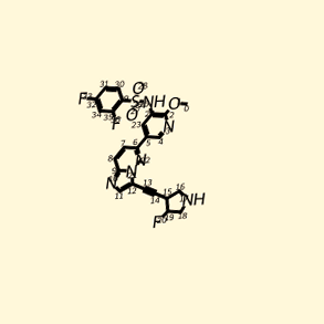 COc1ncc(-c2ccc3ncc(C#CC4CNCC4F)n3n2)cc1NS(=O)(=O)c1ccc(F)cc1F